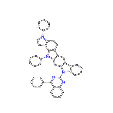 c1ccc(-c2nc(-n3c4ccccc4c4cc5c6ccc7c(ccn7-c7ccccc7)c6n(-c6ccccc6)c5cc43)nc3ccccc23)cc1